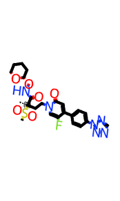 C[C@@](CCn1cc(F)c(-c2ccc(-n3ncnn3)cc2)cc1=O)(C(=O)NOC1CCCCO1)S(C)(=O)=O